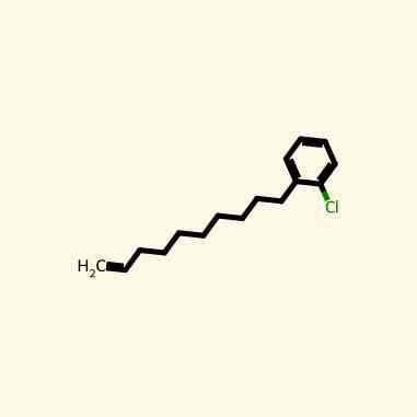 C=CCCCCCCCCc1ccccc1Cl